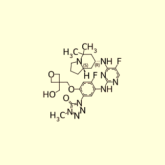 Cn1nnn(-c2cc(Nc3ncc(F)c(N[C@@H]4C[C@@H]5CCCN5C(C)(C)C4)n3)c(F)cc2OCC2(CO)COC2)c1=O